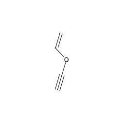 C#COC=C